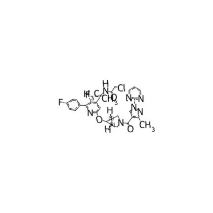 Cc1nn(-c2ncccn2)cc1C(=O)N1C[C@@H]2C(Oc3cc(C(C)(C)NC(=O)CCl)c(F)c(-c4ccc(F)cc4)n3)[C@@H]2C1